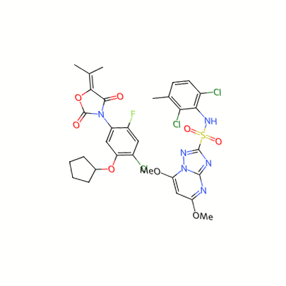 CC(C)=C1OC(=O)N(c2cc(OC3CCCC3)c(Cl)cc2F)C1=O.COc1cc(OC)n2nc(S(=O)(=O)Nc3c(Cl)ccc(C)c3Cl)nc2n1